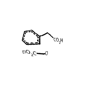 CCOC(=O)Cl.O=C(O)Cc1ccccc1